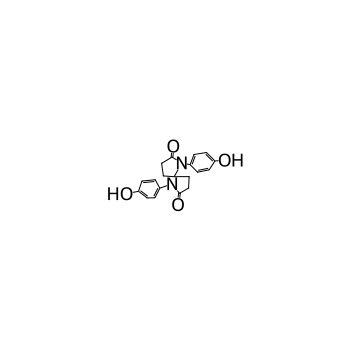 O=C1CCC2(CCC(=O)N2c2ccc(O)cc2)N1c1ccc(O)cc1